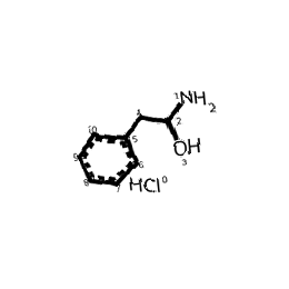 Cl.NC(O)Cc1ccccc1